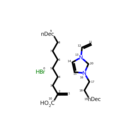 Br.C=C(CCCCCCCCCCCCCCCC)C(=O)O.C=CN1C=CN(CCCCCCCCCCCC)C1